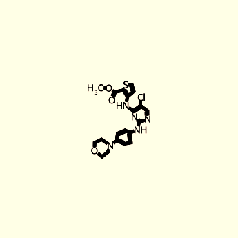 COC(=O)c1sccc1Nc1nc(Nc2ccc(N3CCOCC3)cc2)ncc1Cl